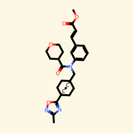 COC(=O)/C=C/c1cccc(N(CC23CCC(c4nc(C)no4)(CC2)CC3)C(=O)C2CCOCC2)c1